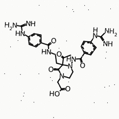 CC(=O)C1(CCNC(=O)c2ccc(NC(=N)N)cc2)C(=O)N(CC(=O)O)CCN1NC(=O)c1ccc(NC(=N)N)cc1